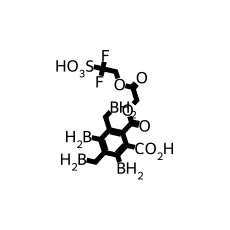 BCc1c(B)c(CB)c(C(=O)OCC(=O)OCC(F)(F)S(=O)(=O)O)c(C(=O)O)c1B